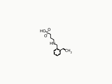 C=Cc1ccccc1CNCCCS(=O)(=O)O